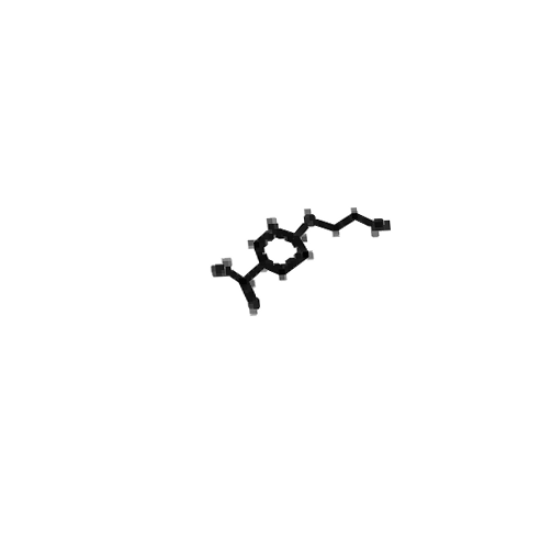 CC(C)(C)CCOc1ccc(C(=O)C(C)(C)C)cn1